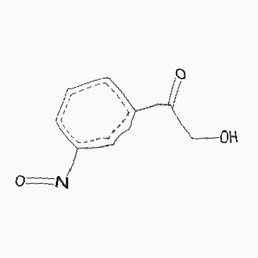 O=Nc1cccc(C(=O)CO)c1